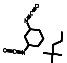 CCCC(C)(C)C.O=C=NC1CCCC(N=C=O)C1